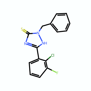 Fc1cccc(-c2nc(=S)n(Cc3ccccc3)[nH]2)c1Cl